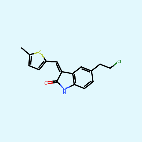 Cc1ccc(C=C2C(=O)Nc3ccc(CCCl)cc32)s1